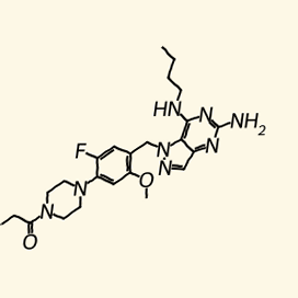 CCCCNc1nc(N)nc2cnn(Cc3cc(F)c(N4CCN(C(=O)CBr)CC4)cc3OC)c12